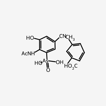 CC(=O)Nc1c(O)cc(C#N)cc1[As](=O)(O)O.Cc1cccc(C(=O)O)c1